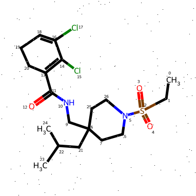 CCS(=O)(=O)N1CCC(CNC(=O)C2=C(Cl)C(Cl)=CCC2)(CC(C)C)CC1